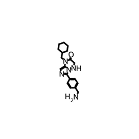 NCc1ccc(-c2ncc3n2NCC(=O)N3CC2CCCCC2)cc1